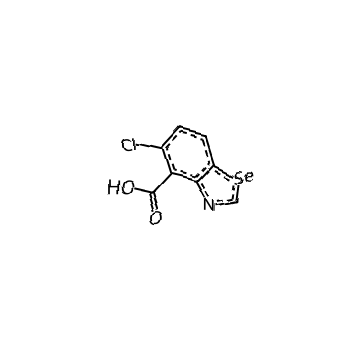 O=C(O)c1c(Cl)ccc2[se]cnc12